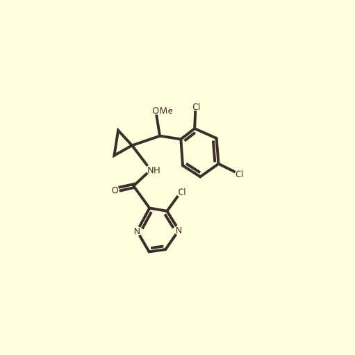 COC(c1ccc(Cl)cc1Cl)C1(NC(=O)c2nccnc2Cl)CC1